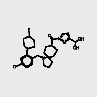 O=C(N1CCC2(CCCN2Cc2ccc(Cl)cc2N2CCC(F)CC2)CC1)n1ccc(C(O)O)n1